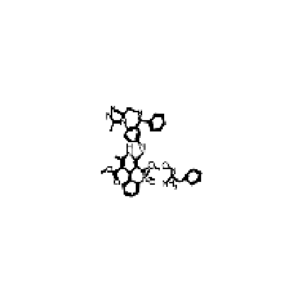 COC(=O)C1=C(C)NC(C)=C(C(=O)OC)C1c1ccccc1[N+](=O)[O-].Cc1nnc2n1-c1ccc(Cl)cc1C(c1ccccc1)=NC2.NC(Cc1ccccc1)N=O